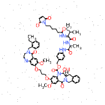 CCc1ccccc1CN1CC=Nc2cc(OCCCOc3cc4c(cc3OC)C(=O)N3Cc5ccccc5C[C@H]3C(O)N4C(=O)OCc3ccc(NC(=O)[C@H](C)NC(=O)[C@@H](NC(=O)CCCCCN4C(=O)C=CC4=O)C(C)C)cc3)c(OC)cc2C1=O